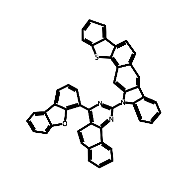 c1ccc2c(c1)ccc1c(-c3cccc4c3oc3ccccc34)nc(-n3c4ccccc4c4cc5ccc6c7ccccc7sc6c5cc43)nc12